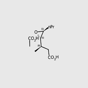 CC(=O)O.CCC[C@@H]1O[C@H]1[C@H](C)CC(=O)O